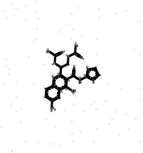 CCC(=O)OCC(OC(=O)CC)c1nc2ccc(C(F)(F)F)cc2c(O)c1C(=O)Nc1nccs1